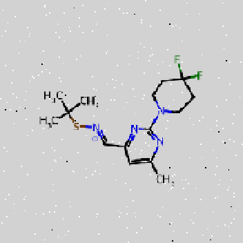 Cc1cc(/C=N/SC(C)(C)C)nc(N2CCC(F)(F)CC2)n1